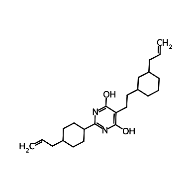 C=CCC1CCC(c2nc(O)c(CCC3CCCC(CC=C)C3)c(O)n2)CC1